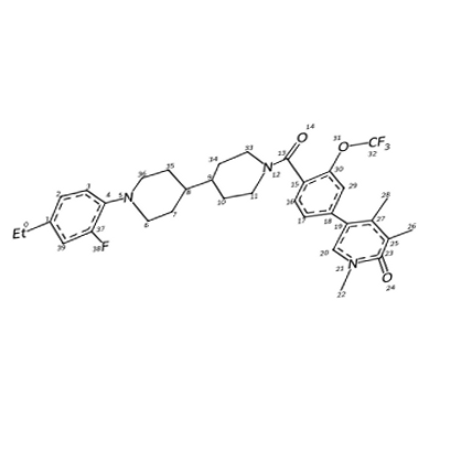 CCc1ccc(N2CCC(C3CCN(C(=O)c4ccc(-c5cn(C)c(=O)c(C)c5C)cc4OC(F)(F)F)CC3)CC2)c(F)c1